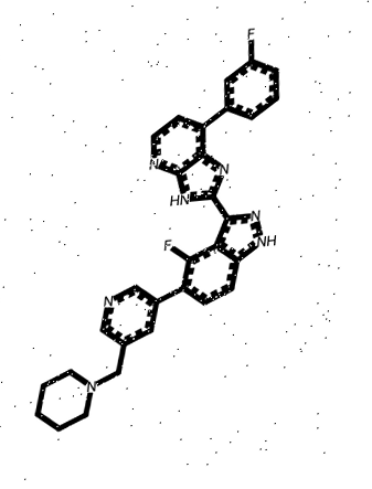 Fc1cccc(-c2ccnc3[nH]c(-c4n[nH]c5ccc(-c6cncc(CN7CCCCC7)c6)c(F)c45)nc23)c1